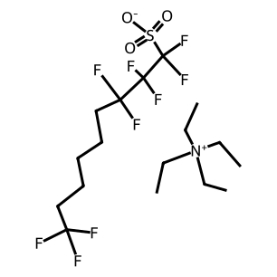 CC[N+](CC)(CC)CC.O=S(=O)([O-])C(F)(F)C(F)(F)C(F)(F)CCCCCC(F)(F)F